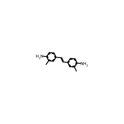 Cc1cc(C=Cc2ccc(N)c(C)c2)ccc1N